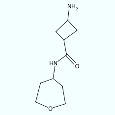 NC1CC(C(=O)NC2CCOCC2)C1